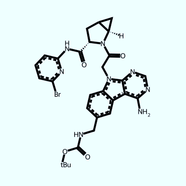 CC(C)(C)OC(=O)NCc1ccc2c(c1)c1c(N)ncnc1n2CC(=O)N1[C@@H]2CC2C[C@H]1C(=O)Nc1cccc(Br)n1